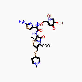 C[n+]1ccc(SCC2=C(C(=O)[O-])N3C(=O)[C@@H](NC(=O)/C(=N\OCc4cc(=O)c(O)cn4O)c4csc(N)n4)[C@H]3SC2)cc1